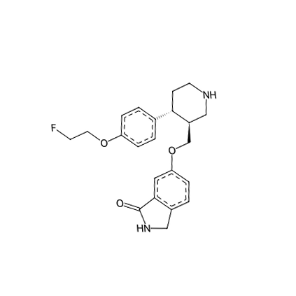 O=C1NCc2ccc(OC[C@@H]3CNCC[C@H]3c3ccc(OCCF)cc3)cc21